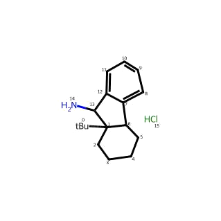 CC(C)(C)C12CCCCC1c1ccccc1C2N.Cl